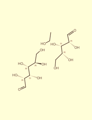 CCO.O=C[C@H](O)[C@@H](O)[C@H](O)CO.O=C[C@H](O)[C@@H](O)[C@H](O)[C@H](O)CO